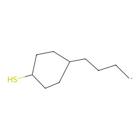 [CH2]CCCC1CCC(S)CC1